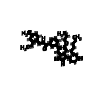 CCCCCN1CNCCC1C1NNC(CNc2cccc(C(=O)NCC3CCN(C)CC3CC)c2)N1CCOCCN